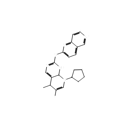 CC(=O)C1=CN(C2CCCC2)C2NC(Nc3ccc4cnccc4n3)=NC=C2C1C